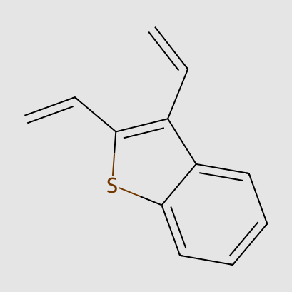 C=Cc1sc2ccccc2c1C=C